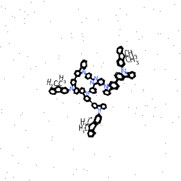 CC1(C)c2ccccc2-c2ccc(-n3c4ccccc4c4cc(-c5ccc6c7ccccc7n(-c7ccc(-c8nc(-c9cccc(-n%10c%11ccccc%11c%11ccc(-c%12ccc%13c(c%12)c%12ccccc%12n%13-c%12ccc%13c(c%12)C(C)(C)c%12ccccc%12-%13)cc%11%10)c9)c9cc(-n%10c%11ccccc%11c%11ccc(-c%12ccc%13c(c%12)c%12ccccc%12n%13-c%12ccc%13c(c%12)C(C)(C)c%12ccccc%12-%13)cc%11%10)ccc9n8)cc7)c6c5)ccc43)cc21